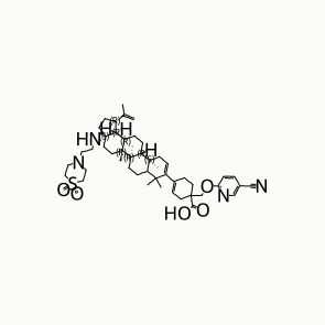 C=C(C)[C@@H]1CC[C@]2(NCCN3CCS(=O)(=O)CC3)CC[C@]3(C)[C@H](CC[C@@H]4[C@@]5(C)CC=C(C6=CCC(COc7ccc(C#N)cn7)(C(=O)O)CC6)C(C)(C)C5CC[C@]43C)[C@@H]12